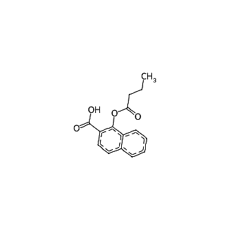 CCCC(=O)Oc1c(C(=O)O)ccc2ccccc12